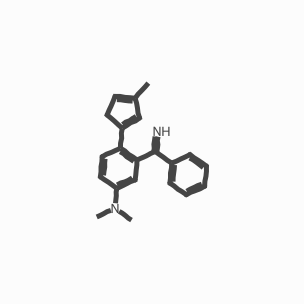 CC1=CCC(c2ccc(N(C)C)cc2C(=N)c2ccccc2)=C1